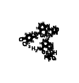 CCn1c(-c2nonc2N)nc2cncc(C(=O)NCc3ccc(Cl)c(C(F)(F)F)c3)c21.NC(=O)c1cncc2nc[nH]c12.O=C(O)C(F)(F)F